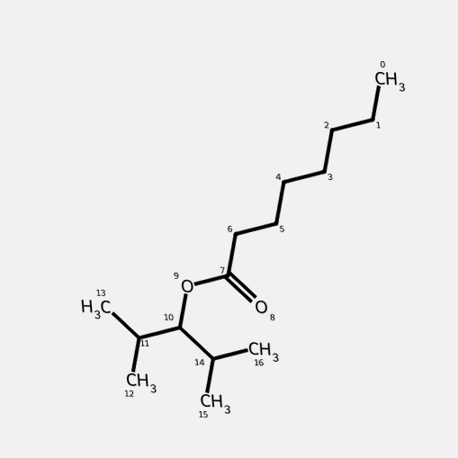 CCCCCCCC(=O)OC(C(C)C)C(C)C